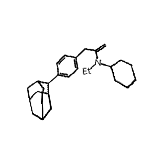 C=C(Cc1ccc(C2C3CC4CC(C3)CC2C4)cc1)N(CC)C1CCCCC1